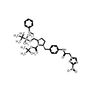 CC(C)(C)OC(=O)N1[C@H](Cc2ccc(NC(=O)Cn3cnc([N+](=O)[O-])n3)cc2)CC[C@@H]1[C@@H](COc1ccccc1)O[Si](C)(C)C(C)(C)C